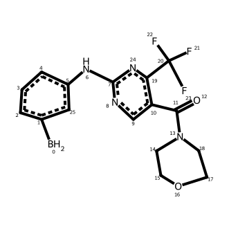 Bc1cccc(Nc2ncc(C(=O)N3CCOCC3)c(C(F)(F)F)n2)c1